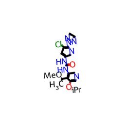 CO[C@H](C)c1c(NC(=O)Nc2cnc(-n3nccn3)c(Cl)c2)cncc1OC(C)C